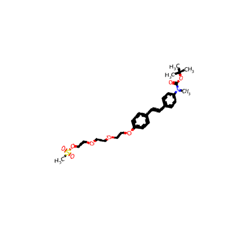 CN(C(=O)OC(C)(C)C)c1ccc(C=Cc2ccc(OCCOCCOCCOS(C)(=O)=O)cc2)cc1